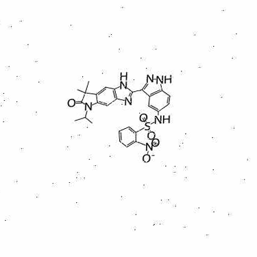 CC(C)N1C(=O)C(C)(C)c2cc3[nH]c(-c4n[nH]c5ccc(NS(=O)(=O)c6ccccc6[N+](=O)[O-])cc45)nc3cc21